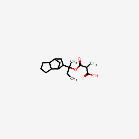 CCC(C)(OC(=O)C(C)C(=O)O)C1CC2CC1C1CCCC21